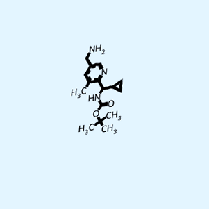 Cc1cc(CN)cnc1C(NC(=O)OC(C)(C)C)C1CC1